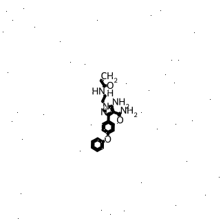 C=CC(O)NCCn1nc(-c2ccc(Oc3ccccc3)cc2)c(C(N)=O)c1N